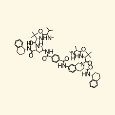 CN[C@@H](C)C(=O)N[C@H](C(=O)N1Cc2cc(NC(=O)c3ccc(C(=O)N[C@H]4C[C@@H](C(=O)N[C@@H]5CCCc6ccccc65)N(C(=O)[C@@H](NC(=O)[C@@H](NC)C(C)C)C(C)(C)C)C4)cc3)ccc2C[C@H]1C(=O)N[C@@H]1CCCc2ccccc21)C(C)(C)C